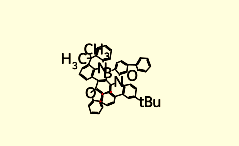 CC(C)(C)c1ccc(N2c3cc4c(oc5ccccc54)c4c3B(c3ccc5c(oc6ccccc65)c32)N2c3ccccc3C(C)(C)c3cccc-4c32)c(-c2ccccc2)c1